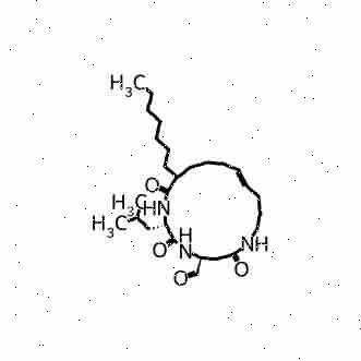 CCCCCCCC1CCC/C=C/CCCNC(=O)C[C@@H](C=O)NC(=O)[C@H](CC(C)C)NC1=O